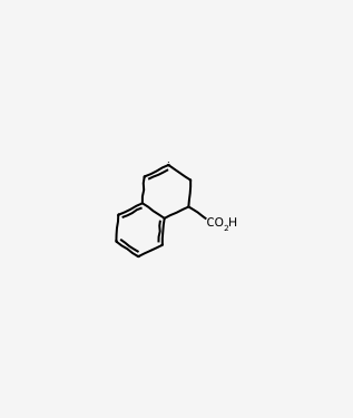 O=C(O)C1C[C]=Cc2ccccc21